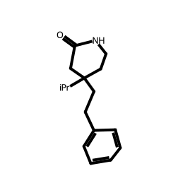 CC(C)C1(CCc2ccccc2)CCNC(=O)C1